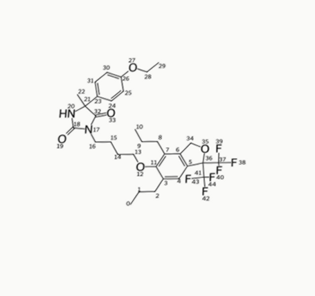 CCCc1cc2c(c(CCC)c1OCCCCN1C(=O)NC(C)(c3ccc(OCC)cc3)C1=O)COC2(C(F)(F)F)C(F)(F)F